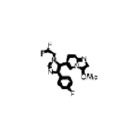 COc1cnc2ccc(-c3c(-c4ccc(F)cc4)ncn3CC(F)F)cn12